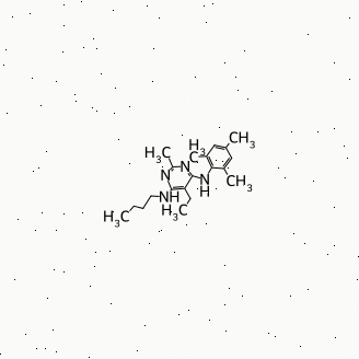 CCCCNc1nc(C)nc(Nc2c(C)cc(C)cc2C)c1CC